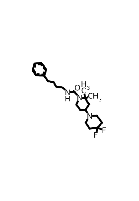 CC1(C)CC(N2CCC(F)(F)CC2)CCN1C(=O)NCCCCc1ccccc1